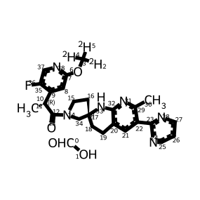 O=CO.[2H]C([2H])([2H])Oc1cc([C@@H](C)C(=O)N2CC[C@@]3(CCc4cc(-c5ncccn5)c(C)nc4N3)C2)c(F)cn1